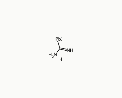 N=[C](N)[Pb].[I]